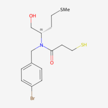 CSCC[C@@H](CO)N(Cc1ccc(Br)cc1)C(=O)CCS